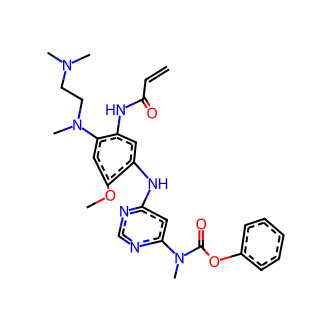 C=CC(=O)Nc1cc(Nc2cc(N(C)C(=O)Oc3ccccc3)ncn2)c(OC)cc1N(C)CCN(C)C